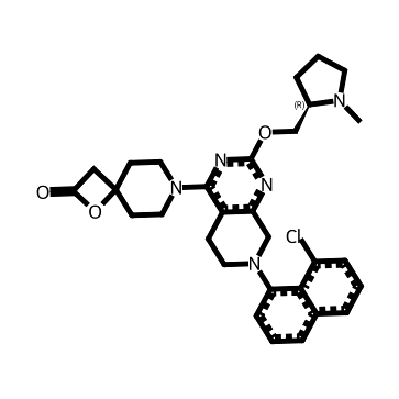 CN1CCC[C@@H]1COc1nc2c(c(N3CCC4(CC3)CC(=O)O4)n1)CCN(c1cccc3cccc(Cl)c13)C2